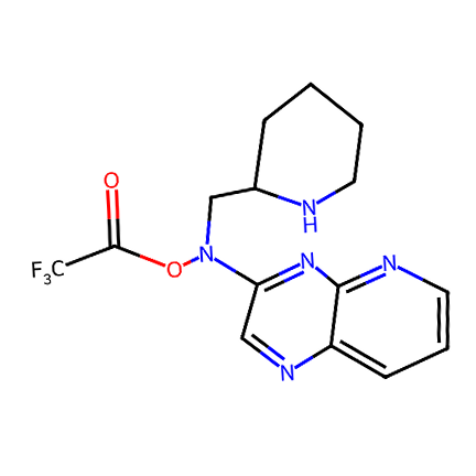 O=C(ON(CC1CCCCN1)c1cnc2cccnc2n1)C(F)(F)F